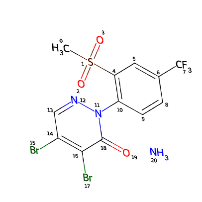 CS(=O)(=O)c1cc(C(F)(F)F)ccc1-n1ncc(Br)c(Br)c1=O.N